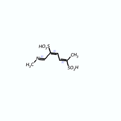 C/N=C/C(=C\C=C(/C)S(=O)(=O)O)S(=O)(=O)O